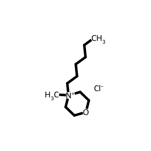 CCCCCC[N+]1(C)CCOCC1.[Cl-]